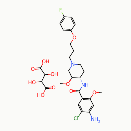 COc1cc(N)c(Cl)cc1C(=O)N[C@H]1CCN(CCCOc2ccc(F)cc2)C[C@@H]1OC.O=C(O)C(O)C(O)C(=O)O